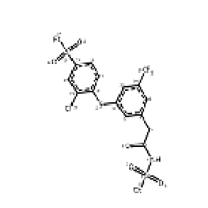 CCS(=O)(=O)NC(=O)Cc1cc(Sc2ccc(S(=O)(=O)CC)cc2Cl)cc(C(F)(F)F)c1